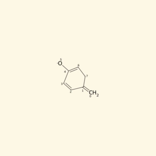 C=C1C=CC([O])=CC1